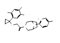 COc1cc(C2(NCC(=O)N3CC4C[C@H](C)C(C3)N4c3ccc(C#N)cn3)CC2)c(F)cc1F